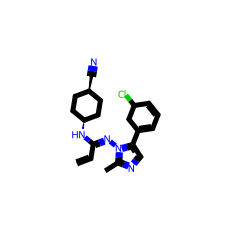 C=C/C(=N\n1c(C2=CC=CC(Cl)C2)cnc1C)N[C@H]1CC[C@H](C#N)CC1